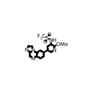 COc1ncc(-c2ccc3ncc4nccn4c3c2)cc1NS(=O)(=O)C(F)(F)F